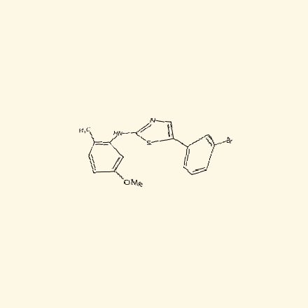 COc1ccc(C)c(Nc2ncc(-c3cccc(Br)c3)s2)c1